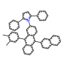 Cc1ccc(-c2c3ccccc3c(-c3ccc4ccccc4c3)c3ccc(-n4c(-c5ccccc5)ccc4-c4ccccc4)cc23)cc1C